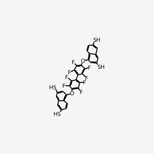 Fc1c(F)c(-c2c(F)c(F)c(Oc3cc(S)cc4cc(S)ccc34)c(F)c2F)c(F)c(F)c1Oc1cc(S)cc2cc(S)ccc12